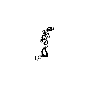 Cc1ccc(Oc2ccc(-n3cc(C(=O)NC4CN5CCC4CC5)ccc3=O)cc2)cc1